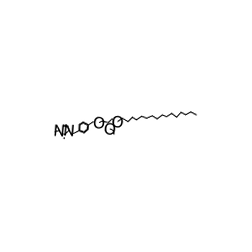 CCCCCCCCCCCCCCCCOCC(COCc1ccc(CN2[CH]N(C)C=C2)cc1)OCC